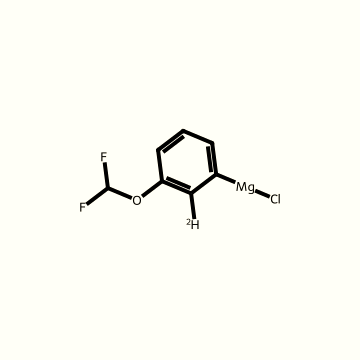 [2H]c1c(OC(F)F)ccc[c]1[Mg][Cl]